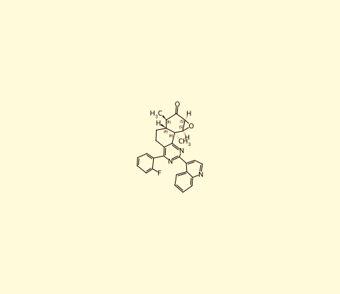 C[C@H]1C(=O)[C@H]2O[C@H]2[C@@]2(C)c3nc(-c4ccnc5ccccc45)nc(-c4ccccc4F)c3CC[C@H]12